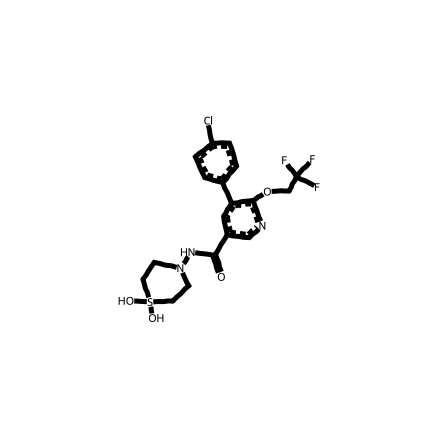 O=C(NN1CCS(O)(O)CC1)c1cnc(OCC(F)(F)F)c(-c2ccc(Cl)cc2)c1